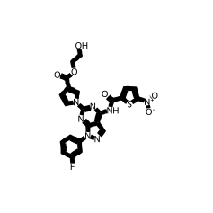 O=C(OCCO)c1ccn(-c2nc(NC(=O)c3ccc([N+](=O)[O-])s3)c3cnn(-c4cccc(F)c4)c3n2)c1